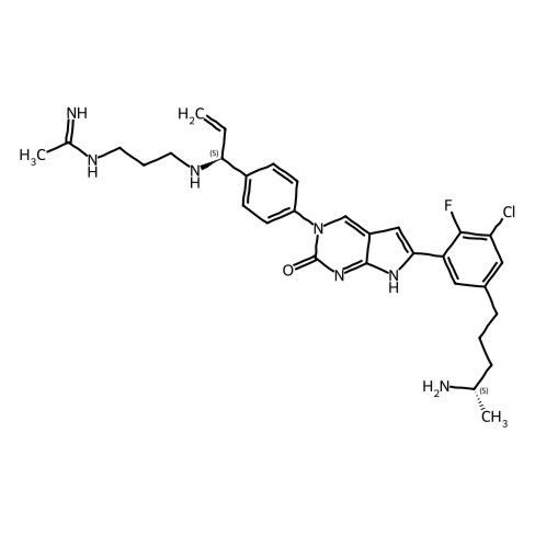 C=C[C@H](NCCCNC(C)=N)c1ccc(-n2cc3cc(-c4cc(CCC[C@H](C)N)cc(Cl)c4F)[nH]c3nc2=O)cc1